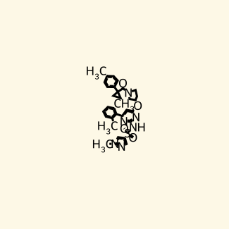 Cc1ccc(C2(C(=O)N3CCC(Oc4cc(-c5c(C)cccc5C)nc(NS(=O)(=O)c5cnn(C)c5)n4)C3)CC2)cc1